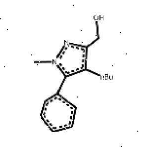 CCCCc1c(CO)nn(C)c1-c1ccccc1